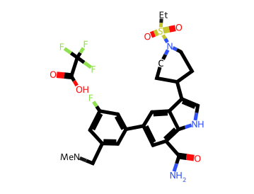 CCS(=O)(=O)N1CCC(c2c[nH]c3c(C(N)=O)cc(-c4cc(F)cc(CNC)c4)cc23)CC1.O=C(O)C(F)(F)F